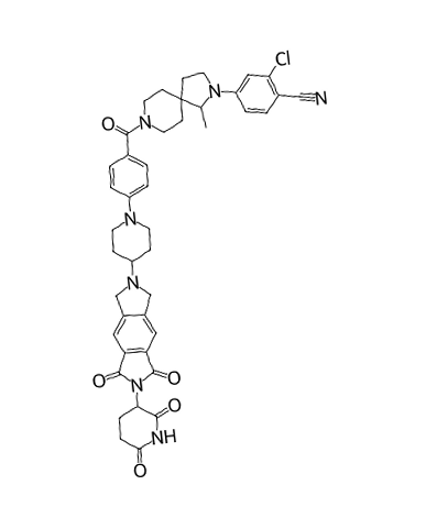 CC1N(c2ccc(C#N)c(Cl)c2)CCC12CCN(C(=O)c1ccc(N3CCC(N4Cc5cc6c(cc5C4)C(=O)N(C4CCC(=O)NC4=O)C6=O)CC3)cc1)CC2